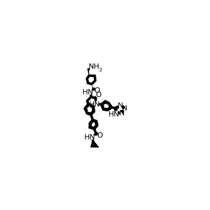 NC[C@H]1CC[C@H](C(=O)NC(Cc2ccc(-c3ccc(C(=O)NC4CC4)cc3)cc2)C(=O)Nc2ccc(-c3nnn[nH]3)cc2)CC1